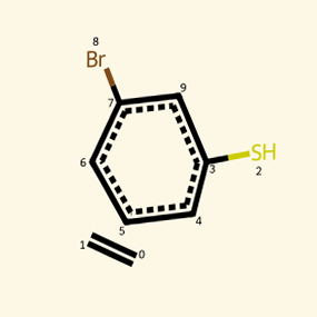 C=C.Sc1cccc(Br)c1